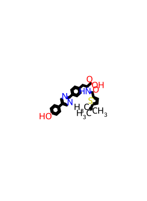 CC(C)(C)c1ccc(C(=O)NC(Cc2ccc(-c3ncc(-c4ccc(O)cc4)cn3)cc2)C(=O)O)s1